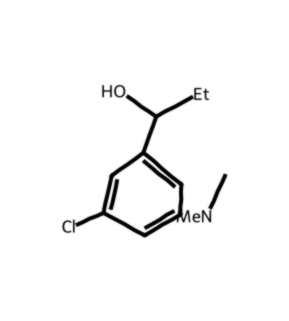 CCC(O)c1cccc(Cl)c1.CNC